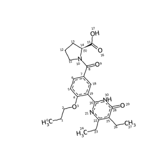 CCCOc1ccc(C(=O)N2CCC[C@H]2C(=O)O)cc1-c1nc(CC)c(CC)c(=O)[nH]1